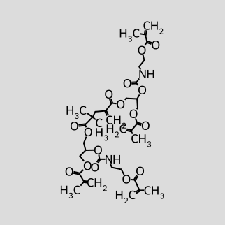 C=C(C)C(=O)OCCNC(=O)OC(COC(=O)C(=C)C)COC(=O)C(=C)CC(C)(C)C(=O)OCC(COC(=O)C(=C)C)OC(=O)NCCOC(=O)C(=C)C